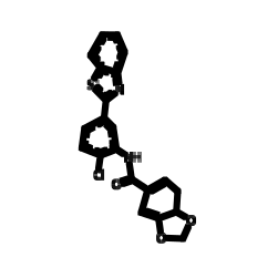 O=C(Nc1cc(-c2nc3ccccc3s2)ccc1Cl)C1=CCC2OCOC2=C1